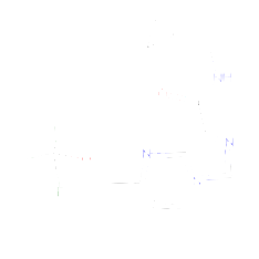 Cc1cc(COC(F)(F)F)nc2c(C(=O)N[C@@H](C)C3CC3)ncn12